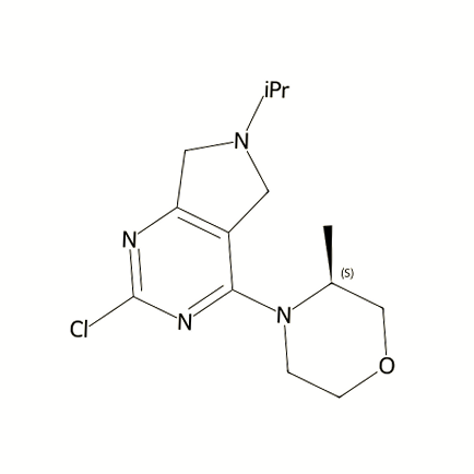 CC(C)N1Cc2nc(Cl)nc(N3CCOC[C@@H]3C)c2C1